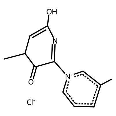 Cc1ccc[n+](C2=NC(O)=CC(C)C2=O)c1.[Cl-]